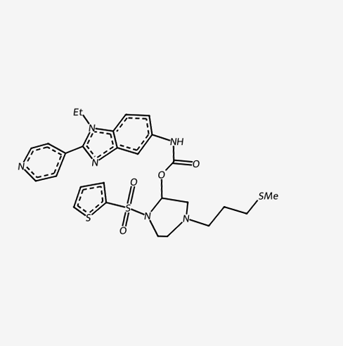 CCn1c(-c2ccncc2)nc2cc(NC(=O)OC3CN(CCCSC)CCN3S(=O)(=O)c3cccs3)ccc21